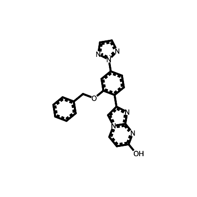 Oc1ccn2cc(-c3ccc(-n4nccn4)cc3OCc3ccccc3)nc2n1